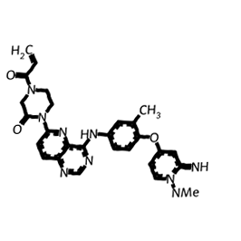 C=CC(=O)N1CCN(c2ccc3ncnc(Nc4ccc(Oc5ccn(NC)c(=N)c5)c(C)c4)c3n2)C(=O)C1